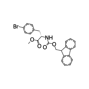 COC(=O)[C@H](Cc1ccc(Br)cc1)NC(=O)OCC1c2ccccc2-c2ccccc21